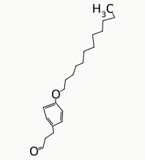 CCCCCCCCCCCCOc1ccc(CCC=O)cc1